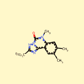 CCOC(=O)c1nc2c3cc(C)c(C)cc3n(C)c(=O)n2n1